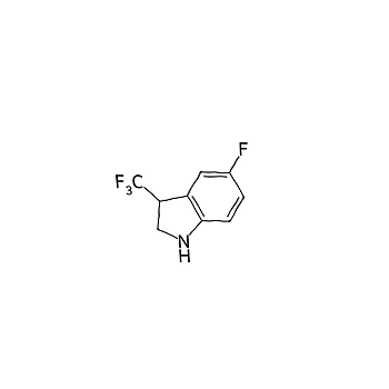 Fc1ccc2c(c1)C(C(F)(F)F)CN2